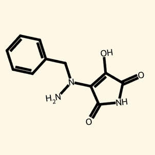 NN(Cc1ccccc1)C1=C(O)C(=O)NC1=O